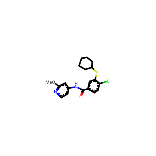 COc1cc(NC(=O)c2ccc(Cl)c(SC3CCCCC3)c2)ccn1